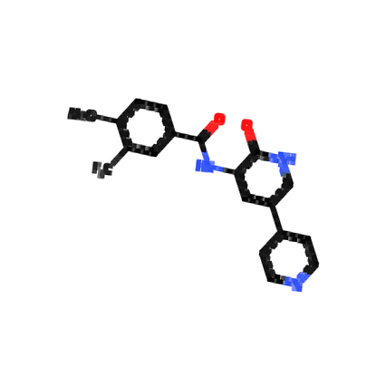 COc1ccc(C(=O)Nc2cc(-c3ccncc3)c[nH]c2=O)cc1C(F)(F)F